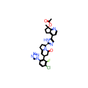 CC(=O)OC1(C)CCc2c(-c3cnc([C@@H]4CCC5=CC(c6c(-n7cnnn7)ccc(Cl)c6F)CC(=O)N54)[nH]3)ccnc21